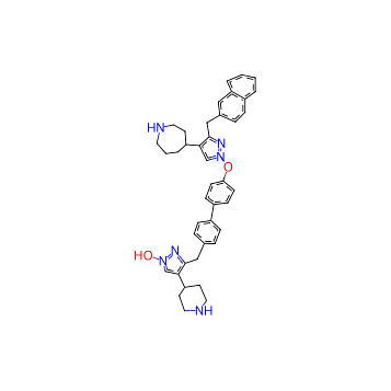 On1cc(C2CCNCC2)c(Cc2ccc(-c3ccc(On4cc(C5CCCNCC5)c(Cc5ccc6ccccc6c5)n4)cc3)cc2)n1